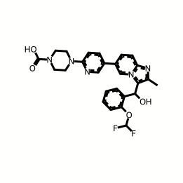 Cc1nc2ccc(-c3ccc(N4CCN(C(=O)O)CC4)nc3)cn2c1C(O)c1ccccc1OC(F)F